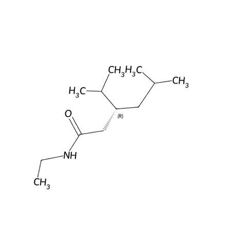 CCNC(=O)C[C@@H](CC(C)C)C(C)C